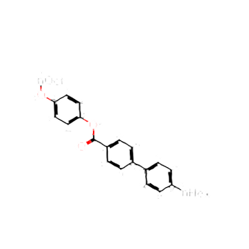 CCCCCCCCOc1ccc(OC(=O)c2ccc(-c3ccc(CCCCCC)cc3)cc2)cc1